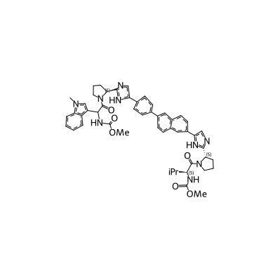 COC(=O)NC(C(=O)N1CCC[C@H]1c1ncc(-c2ccc(-c3ccc4cc(-c5cnc([C@@H]6CCCN6C(=O)[C@@H](NC(=O)OC)C(C)C)[nH]5)ccc4c3)cc2)[nH]1)c1cn(C)c2ccccc12